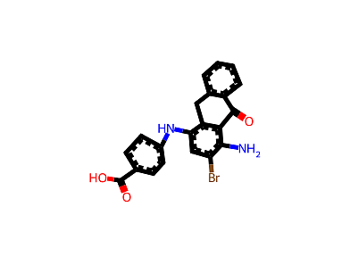 Nc1c(Br)cc(Nc2ccc(C(=O)O)cc2)c2c1C(=O)c1ccccc1C2